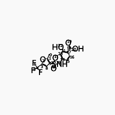 Cc1oc(C(F)(F)F)cc1S(=O)(=O)Nc1ccc(C(=O)O)c(O)c1